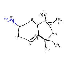 CC1(C)CC(C)(C)C2CC(N)CC=C21